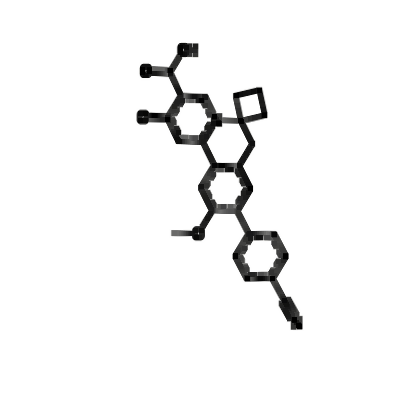 COc1cc2c(cc1-c1ccc(C#N)cc1)CC1(CCC1)n1cc(C(=O)O)c(=O)cc1-2